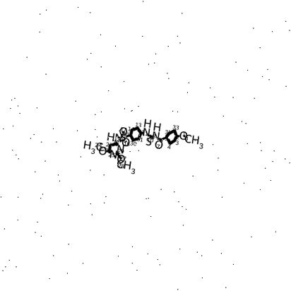 COc1ccc(C(=O)NC(=S)Nc2ccc(S(=O)(=O)Nc3cc(OC)nc(OC)n3)cc2)cc1